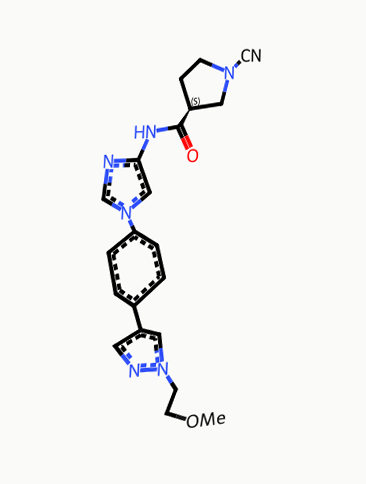 COCCn1cc(-c2ccc(-n3cnc(NC(=O)[C@H]4CCN(C#N)C4)c3)cc2)cn1